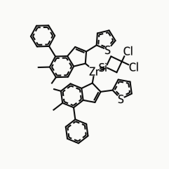 Cc1cc2c(c(-c3ccccc3)c1C)C=C(c1cccs1)[CH]2[Zr]([CH]1C(c2cccs2)=Cc2c1cc(C)c(C)c2-c1ccccc1)=[Si]1CC(Cl)(Cl)C1